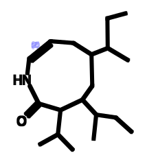 CCC(C)C1C/C=C\NC(=O)C(C(C)C)C(C(C)CC)C1